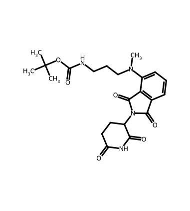 CN(CCCNC(=O)OC(C)(C)C)c1cccc2c1C(=O)N(C1CCC(=O)NC1=O)C2=O